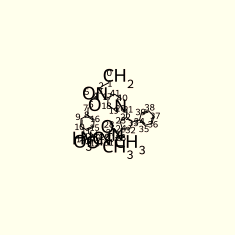 C=CCN(C(=O)OCc1ccc([N+](=O)[O-])cc1)C1CCN(CC2CC(N(C)C(=O)N(C)C)CC2c2ccccc2)CC1